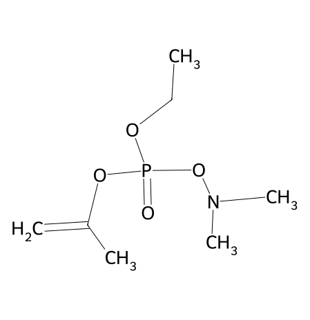 C=C(C)OP(=O)(OCC)ON(C)C